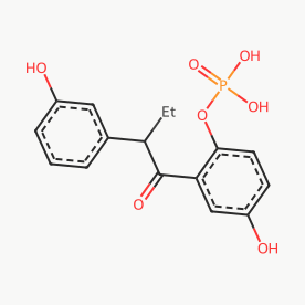 CCC(C(=O)c1cc(O)ccc1OP(=O)(O)O)c1cccc(O)c1